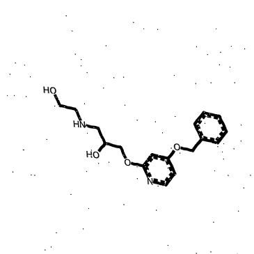 OCCNCC(O)COc1cc(OCc2ccccc2)ccn1